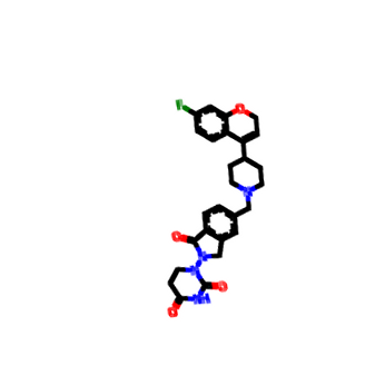 O=C1CCN(N2Cc3cc(CN4CCC(C5=CCOc6cc(F)ccc65)CC4)ccc3C2=O)C(=O)N1